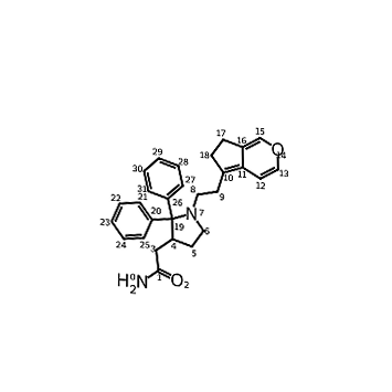 NC(=O)CC1CCN(CCC2=C3C=COC=C3CC2)C1(c1ccccc1)c1ccccc1